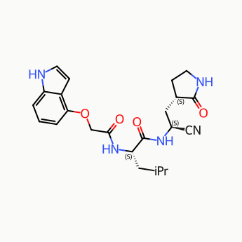 CC(C)C[C@H](NC(=O)COc1cccc2[nH]ccc12)C(=O)N[C@H](C#N)C[C@@H]1CCNC1=O